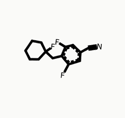 N#Cc1cc(F)c(CC2(F)CCCCC2)c(F)c1